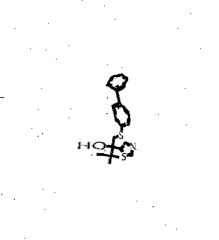 CC(C)(C)C(O)(CSc1ccc(-c2ccccc2)cc1)c1cncs1